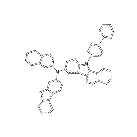 c1ccc(-c2ccc(-n3c4ccc(N(c5ccc6ccccc6c5)c5ccc6c(c5)sc5ccccc56)cc4c4ccc5ccccc5c43)cc2)cc1